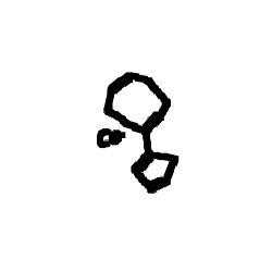 C1=CCC(/C2=C/CC/C=C\CC2)=C1.[Co]